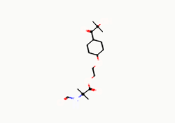 CC(C)(O)C(=O)C1CCC(OCCOC(=O)C(C)(C)NC=O)CC1